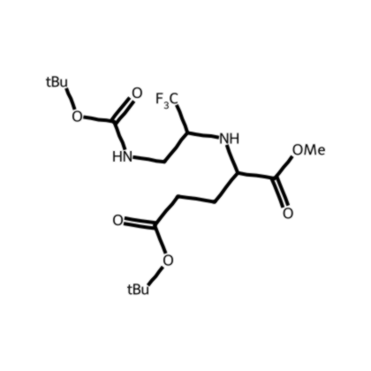 COC(=O)C(CCC(=O)OC(C)(C)C)NC(CNC(=O)OC(C)(C)C)C(F)(F)F